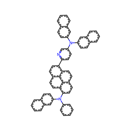 c1ccc(N(c2ccc3ccccc3c2)c2ccc3ccc4c(-c5ccc(N(c6ccc7ccccc7c6)c6ccc7ccccc7c6)cn5)ccc5ccc2c3c54)cc1